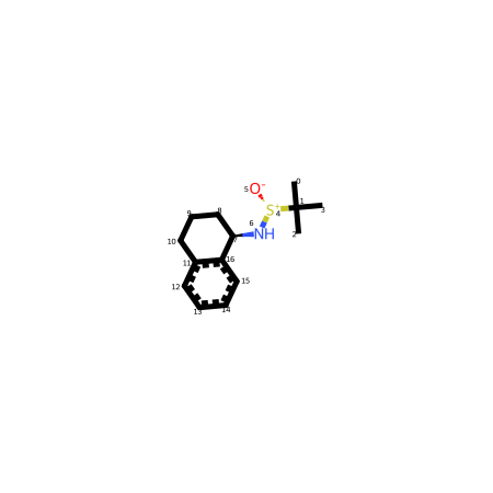 CC(C)(C)[S@@+]([O-])N[C@@H]1CCCc2ccccc21